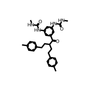 CNC(=O)Nc1cc(NC(=O)NC)cc(C(=O)C(CCc2ccc(C)cc2)CCc2ccc(C)cc2)c1